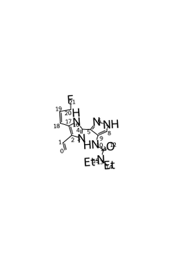 C=Cc1nc(-c2n[nH]cc2NC(=O)N(CC)CC)[nH]c1/C=C\CF